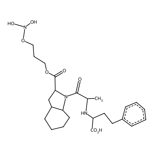 CC(NC(CCc1ccccc1)C(=O)O)C(=O)N1C(C(=O)OCCCON(O)O)CC2CCCCC21